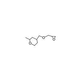 CC1CC(COCC2CO2)CCO1